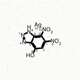 O=[N+]([O-])c1cc(O)c2nn[nH]c2c1[N+](=O)[O-].[Ag]